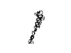 COC(=O)c1ccc(OCCCO[C@@H]2CC(C)(C)C[C@@H]3C4=CC[C@@H]5[C@@]6(C)CCC7OC(C)(C)OCC7(C)C6CC[C@@]5(C)[C@]4(C)CC[C@]32C)cc1